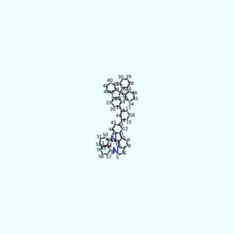 c1ccc(-n2ccc3ccc4c5cc(-c6cccc(-c7ccc8c(c7)C(c7ccccc7)(c7ccccc7)c7ccccc7-8)c6)ccc5n(-c5ccccc5)c4c32)cc1